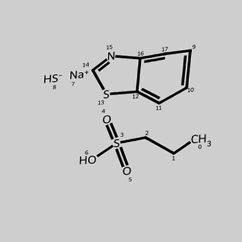 CCCS(=O)(=O)O.[Na+].[SH-].c1ccc2scnc2c1